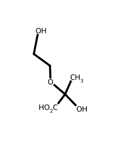 CC(O)(OCCO)C(=O)O